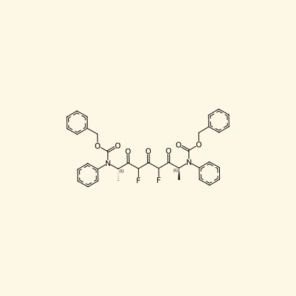 C[C@@H](C(=O)C(F)C(=O)C(F)C(=O)[C@H](C)N(C(=O)OCc1ccccc1)c1ccccc1)N(C(=O)OCc1ccccc1)c1ccccc1